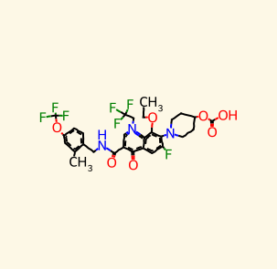 CCOc1c(N2CCC(OC(=O)O)CC2)c(F)cc2c(=O)c(C(=O)NCc3ccc(OC(F)(F)F)cc3C)cn(CC(F)(F)F)c12